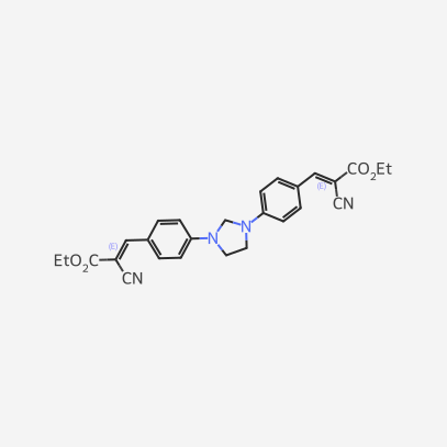 CCOC(=O)/C(C#N)=C/c1ccc(N2CCN(c3ccc(/C=C(\C#N)C(=O)OCC)cc3)C2)cc1